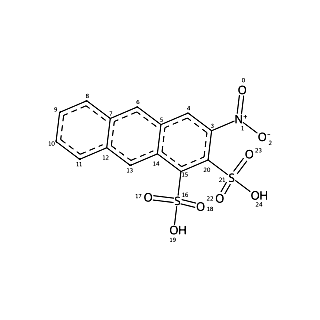 O=[N+]([O-])c1cc2cc3ccccc3cc2c(S(=O)(=O)O)c1S(=O)(=O)O